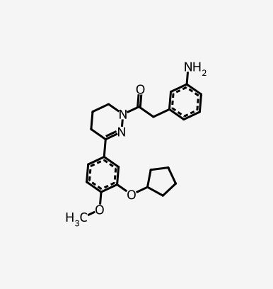 COc1ccc(C2=NN(C(=O)Cc3cccc(N)c3)CCC2)cc1OC1CCCC1